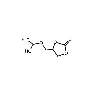 CC(O)OCC1COC(=O)O1